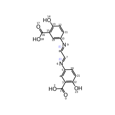 O=C(O)c1cc(/N=C/C=N/c2ccc(O)c(C(=O)O)c2)ccc1O